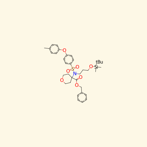 Cc1ccc(Oc2ccc(S(=O)(=O)N(CCCO[Si](C)(C)C(C)(C)C)C3(C(=O)OCc4ccccc4)CCOCC3)cc2)cc1